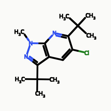 Cn1nc(C(C)(C)C)c2cc(Cl)c(C(C)(C)C)nc21